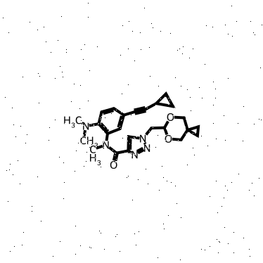 CN(C)c1ccc(C#CC2CC2)cc1N(C)C(=O)c1cn(CC2OCC3(CC3)CO2)nn1